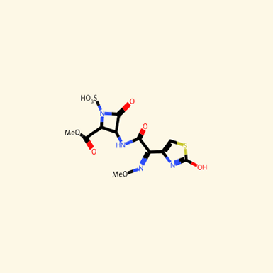 CON=C(C(=O)NC1C(=O)N(S(=O)(=O)O)C1C(=O)OC)c1csc(O)n1